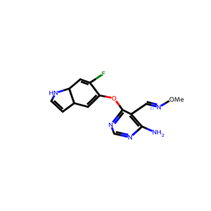 CO/N=C/c1c(N)ncnc1OC1=CC2C=CNC2C=C1F